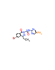 CCc1nn(CC(=O)Nc2ncc(P)cn2)c(=O)c2ccc(Br)cc12